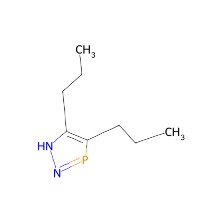 CCCc1[nH]npc1CCC